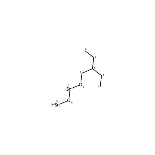 CCC(CC)C[O][Sn][O][SnH]